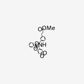 COC(=O)CCc1cccc(CNC(c2ccc3c(c2)OCO3)S(=O)(=O)c2ccccc2)c1